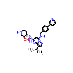 CC(C)c1cnn2c(NCc3ccc(-c4cccnc4)cc3)cc(NC[C@H]3CCNC[C@@H]3O)nc12